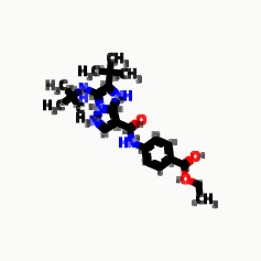 CCOC(=O)c1ccc(NC(=O)c2cnn3c(NC(C)(C)C)c(C(C)(C)C)[nH]c23)cc1